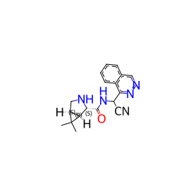 CC1(C)[C@@H]2[C@@H](C(=O)NC(C#N)c3nncc4ccccc34)NC[C@@H]21